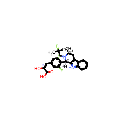 [2H][C@@]1(c2c(F)cc(/C=C(/O)C(=O)O)cc2F)c2[nH]c3ccccc3c2C[C@@H](C)N1CC(C)(C)F